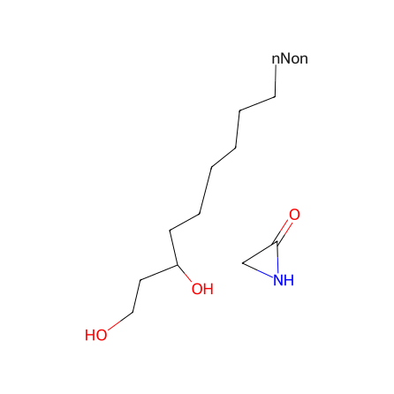 CCCCCCCCCCCCCCCC(O)CCO.O=C1CN1